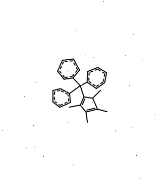 CC1=C(C)C(C)C(C(c2ccccc2)(c2ccccc2)c2ccccc2)=C1C